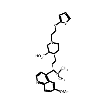 COc1ccc2nccc([C@H](CC[C@@H]3CCN(CCSc4cccs4)C[C@@H]3C(=O)O)N(C)C)c2c1